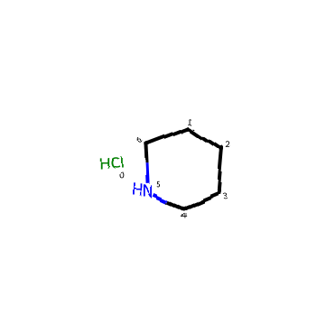 Cl.[CH]1CCCNC1